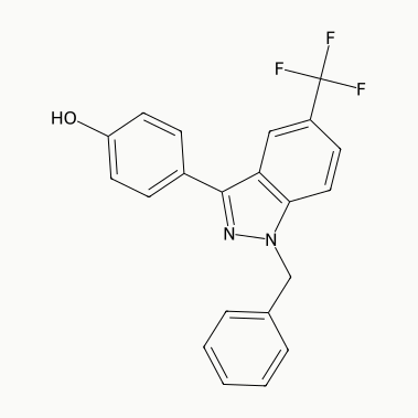 Oc1ccc(-c2nn(Cc3ccccc3)c3ccc(C(F)(F)F)cc23)cc1